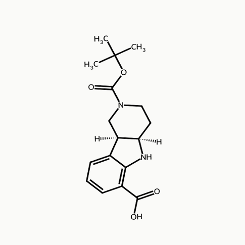 CC(C)(C)OC(=O)N1CC[C@H]2Nc3c(C(=O)O)cccc3[C@H]2C1